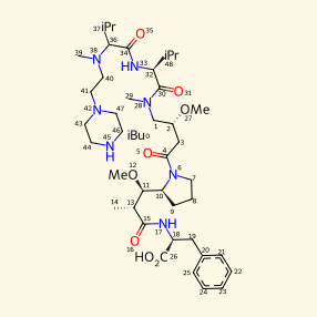 CC[C@H](C)C([C@@H](CC(=O)N1CCC[C@H]1[C@H](OC)[C@@H](C)C(=O)N[C@@H](Cc1ccccc1)C(=O)O)OC)N(C)C(=O)[C@@H](NC(=O)C(C(C)C)N(C)CCN1CCNCC1)C(C)C